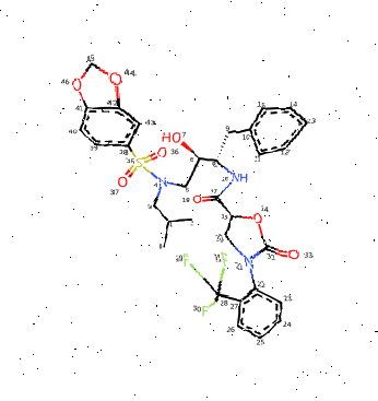 CC(C)CN(C[C@@H](O)[C@H](Cc1ccccc1)NC(=O)[C@@H]1CN(c2ccccc2C(F)(F)F)C(=O)O1)S(=O)(=O)c1ccc2c(c1)OCO2